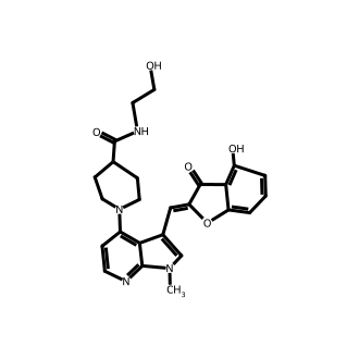 Cn1cc(/C=C2\Oc3cccc(O)c3C2=O)c2c(N3CCC(C(=O)NCCO)CC3)ccnc21